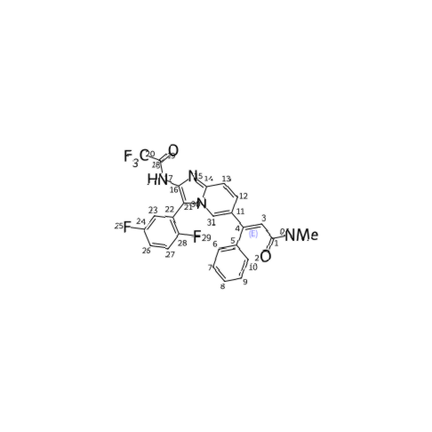 CNC(=O)/C=C(\c1ccccc1)c1ccc2nc(NC(=O)C(F)(F)F)c(-c3cc(F)ccc3F)n2c1